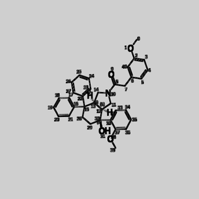 COc1cccc(CC(=O)N2C[C@@H]3[C@H](C2)C(c2ccccc2)(c2ccccc2)CC[C@@]3(O)c2ccccc2OC)c1